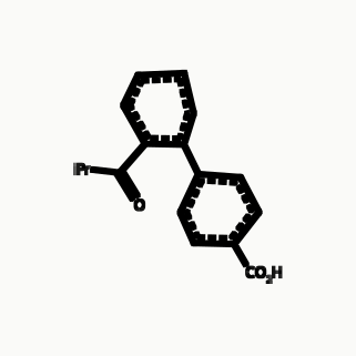 CC(C)C(=O)c1ccccc1-c1ccc(C(=O)O)cc1